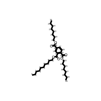 CCCCCCCCCCOC(=O)c1cc(C(=O)OCCCCCCCC)ccc1C(=O)OCCCCCCCC